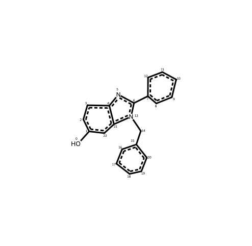 Oc1ccc2nc(-c3ccccc3)n(Cc3ccccc3)c2c1